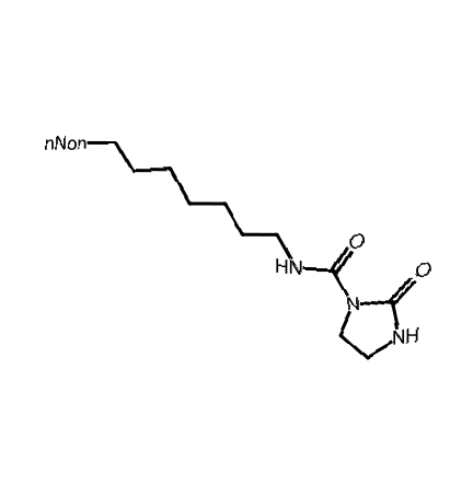 CCCCCCCCCCCCCCCCNC(=O)N1CCNC1=O